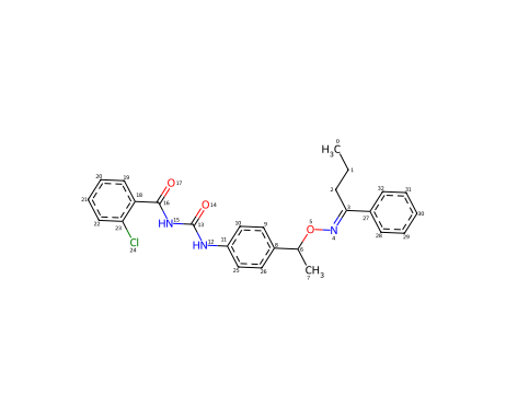 CCC/C(=N\OC(C)c1ccc(NC(=O)NC(=O)c2ccccc2Cl)cc1)c1ccccc1